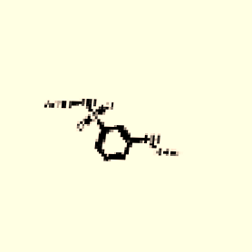 CC(=O)NNc1cccc(S(=O)(=O)NNC(C)=O)c1